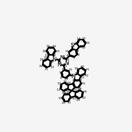 c1cc(-c2nc(-c3ccc4c(c3)sc3ccccc34)nc(-n3c4ccccc4c4ccccc43)n2)cc(-n2c3ccccc3c3ccc4c(c32)-c2ccccc2C42c3ccccc3-c3ccccc32)c1